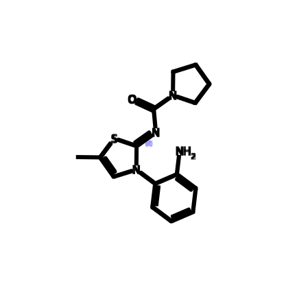 Cc1cn(-c2ccccc2N)/c(=N/C(=O)N2CCCC2)s1